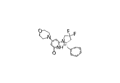 O=c1cc(N2CCOCC2)cc(N2CC(F)(F)C[C@@H]2Cc2ccccc2)[nH]1